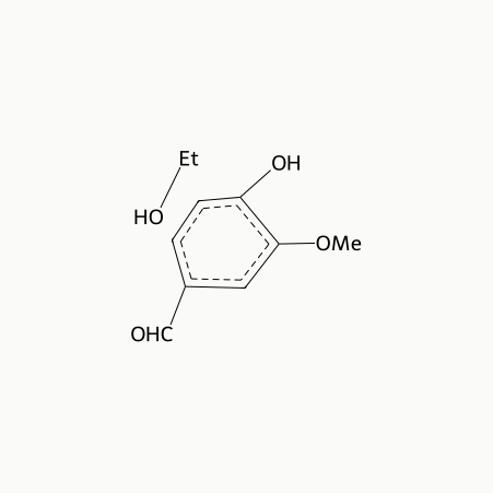 CCO.COc1cc(C=O)ccc1O